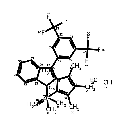 CC1=C(C)C(C)[C]([Zr]([CH3])([CH3])(=[SiH2])[CH]2C=C(c3cc(C(F)(F)F)cc(C(F)(F)F)c3)c3ccccc32)=C1C.Cl.Cl